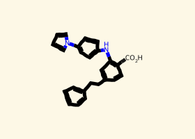 O=C(O)c1ccc(CCc2ccccc2)cc1Nc1ccc(-n2cccc2)cc1